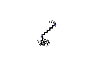 CCC/C=C\CCCCCCCC/C=C\CCC(O)(C[N+](C)(C)C)P(=O)(O)O